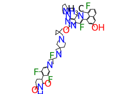 CCc1c(F)ccc2cc(O)cc(-c3ncc4c(N5CC6CCC(C5)N6)nc(OCC5(CN6CCC7(CC6)CN(CC6(F)CN(c8cc(F)c(C9CCC(=O)NC9=O)c(F)c8)C6)C7)CC5)nc4c3F)c12